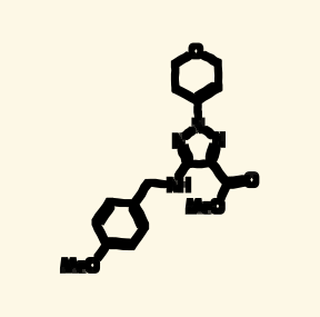 COC(=O)c1nn(C2=CCOCC2)nc1NCc1ccc(OC)cc1